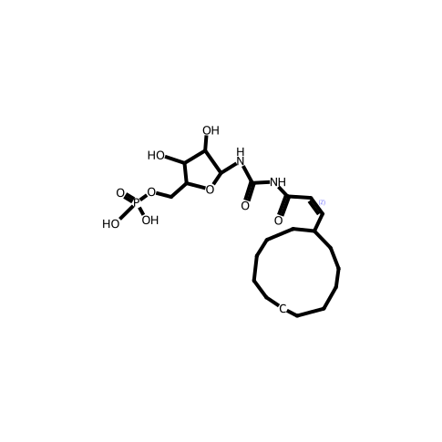 O=C(/C=C\C1CCCCCCCCCCC1)NC(=O)NC1OC(COP(=O)(O)O)C(O)C1O